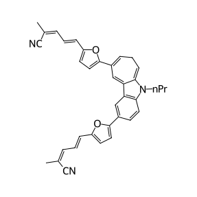 CCCn1c2c(c3cc(-c4ccc(/C=C/C=C(/C)C#N)o4)ccc31)=CC(c1ccc(/C=C/C=C(/C)C#N)o1)=CCC=2